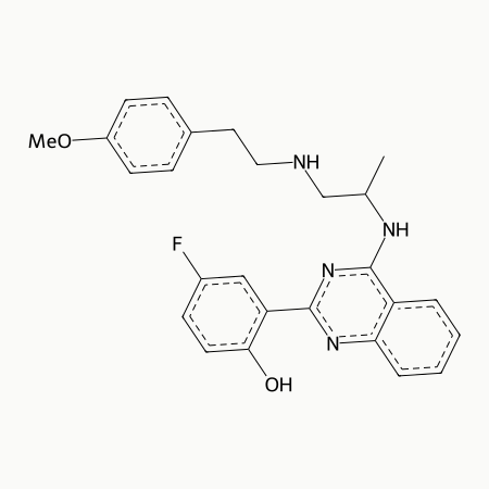 COc1ccc(CCNCC(C)Nc2nc(-c3cc(F)ccc3O)nc3ccccc23)cc1